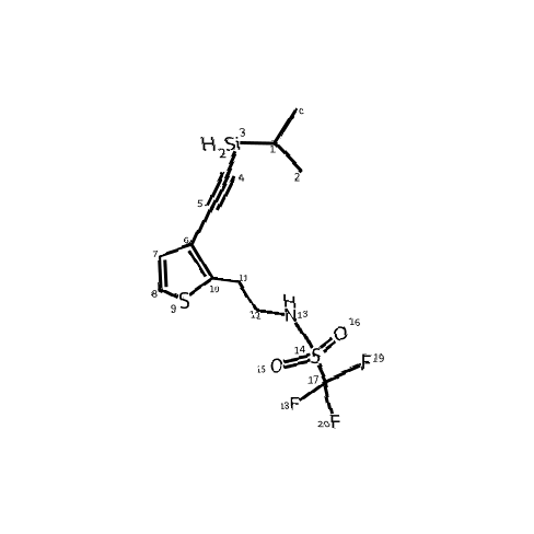 CC(C)[SiH2]C#Cc1ccsc1CCNS(=O)(=O)C(F)(F)F